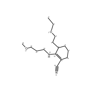 CCOCCC1CC[C]C(C#N)=C1NCCCOC